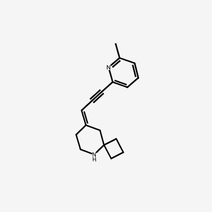 Cc1cccc(C#C/C=C2/CCNC3(CCC3)C2)n1